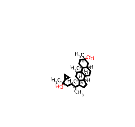 C[C@H](CC[C@@](C)(O)C1CC1)C1CC[C@H]2[C@@H]3CC[C@H]4C[C@@](C)(O)CC[C@]4(C)[C@H]3CC[C@]12C